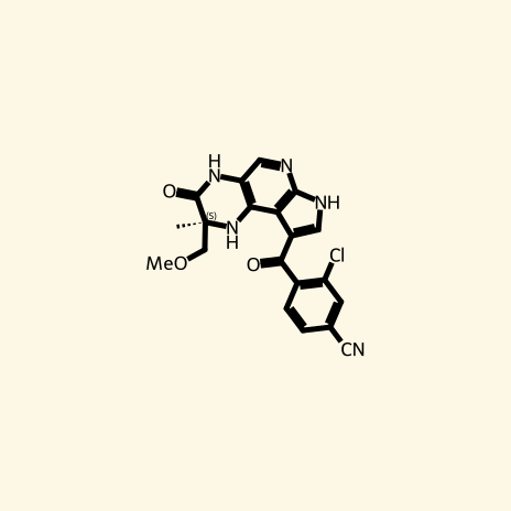 COC[C@]1(C)Nc2c(cnc3[nH]cc(C(=O)c4ccc(C#N)cc4Cl)c23)NC1=O